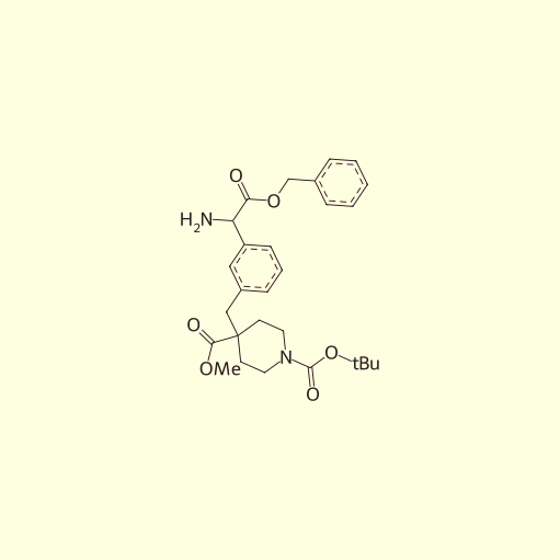 COC(=O)C1(Cc2cccc(C(N)C(=O)OCc3ccccc3)c2)CCN(C(=O)OC(C)(C)C)CC1